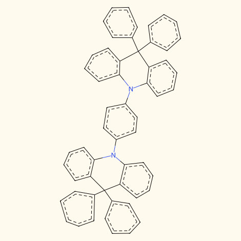 c1ccc(C2(c3ccccc3)c3ccccc3N(c3ccc(N4c5ccccc5C(c5ccccc5)(c5ccccc5)c5ccccc54)cc3)c3ccccc32)cc1